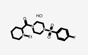 CCN1CCCCC1C(=O)N1CCN(S(=O)(=O)c2ccc(F)cc2)CC1.Cl